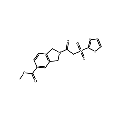 COC(=O)c1ccc2c(c1)CN(C(=O)CS(=O)(=O)c1nccs1)C2